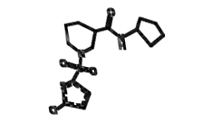 O=C(NC1CCCC1)C1CCCN(S(=O)(=O)c2ccc(Cl)s2)C1